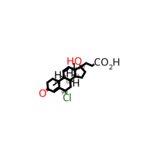 C[C@]12CCC(=O)C=C1[C@H](Cl)C[C@@H]1[C@@H]2C=C[C@@]2(C)[C@H]1CC[C@@]2(O)CCC(=O)O